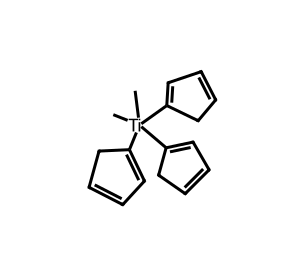 [CH3][Ti]([CH3])([C]1=CC=CC1)([C]1=CC=CC1)[C]1=CC=CC1